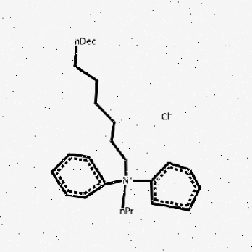 CCCCCCCCCCCCCCCC[N+](CCC)(c1ccccc1)c1ccccc1.[Cl-]